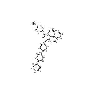 CC(C)(C)c1ccc(-c2cc(-c3ccc(-c4ccc(-c5ccccn5)cn4)cc3)c3ccc4cccc5ccc2c3c45)cc1